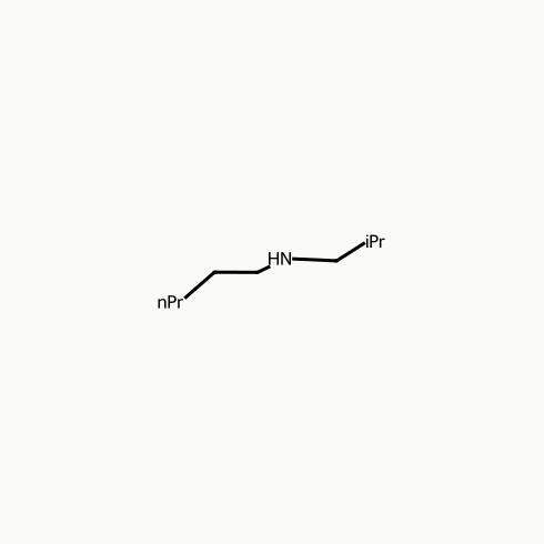 CCCCCNCC(C)C